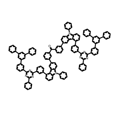 O=C(c1cccc(-c2ccc3c(c2)c2c(-c4cccc(-c5nc(-c6ccccc6)nc(-c6cccc(-c7cc(-c8ccccc8)cc(-c8ccccc8)c7)c6)n5)c4)cccc2n3-c2ccccc2)c1)c1cccc(-c2ccc3c(c2)c2c(-c4cccc(-c5nc(-c6ccccc6)nc(-c6cccc(-c7cc(-c8ccccc8)cc(-c8ccccc8)c7)c6)n5)c4)cccc2n3-c2ccccc2)c1